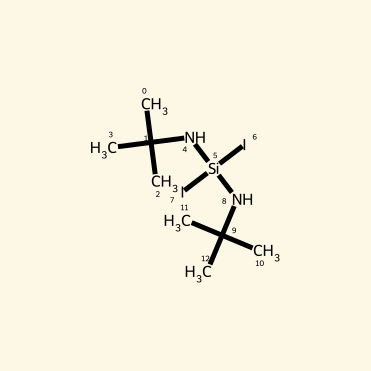 CC(C)(C)N[Si](I)(I)NC(C)(C)C